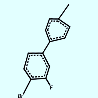 Cc1ccc(-c2ccc(Br)c(F)c2)cc1